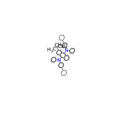 CC(C)(C)c1ccc2c(N(c3ccccc3)c3ccc(C4CCCCC4)cc3)c3ccccc3c(N(c3ccccc3)c3ccc(C4CCCCC4)cc3)c2c1